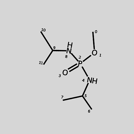 COP(=O)(NC(C)C)NC(C)C